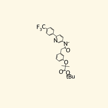 CN(C(=O)Cc1cccc(OC(C)(C)C(=O)OC(C)(C)C)c1)c1ccc(-c2ccc(C(F)(F)F)cc2)nc1